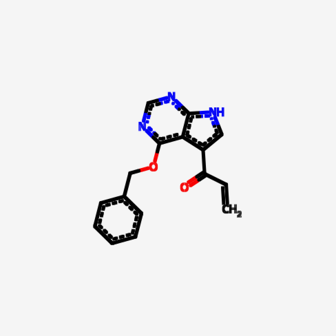 C=CC(=O)c1c[nH]c2ncnc(OCc3ccccc3)c12